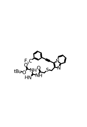 CC(C)(C)OC(=O)NC(=N)NC(=O)CSCc1nc2ccccn2c1C#Cc1cccc(C(F)(F)F)c1